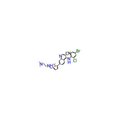 Cc1cc(Br)cc(Cl)c1Nc1c(C#N)cnc2cc(-c3ccc(CNCCN(C)C)s3)ccc12